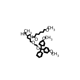 CN[C@@H]1CC(COCCOC(c2ccccc2)(c2ccc(OC)cc2)c2ccc(OC)cc2)N(C(=O)CCCCCOC)C1